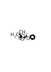 C=C(C)C(=O)OC(Cl)COc1ccccc1